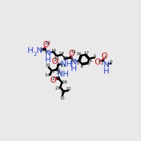 CNC(=O)OCc1ccc(NC(=O)[C@H](CCCNC(N)=O)NC(=O)C(NC(=O)CCC(C)C)C(C)C)cc1